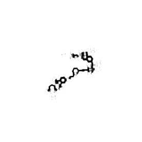 CC(=O)COc1cc2cc(Nc3nc(C#CC4CCCN(CCOc5ccc6c(c5)C(=O)N(C5CCC(=O)NC5=O)C6=O)C4)ncc3Cl)ccc2n(C)c1=O